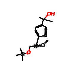 CC(C)(O)c1ccc(CCO[Si](C)(C)C)cc1.COC